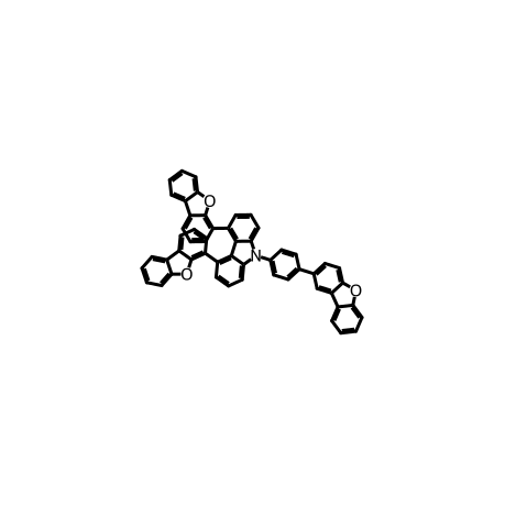 c1ccc2c(c1)oc1ccc(-c3ccc(-n4c5cccc(-c6cccc7c6oc6ccccc67)c5c5c(-c6cccc7c6oc6ccccc67)cccc54)cc3)cc12